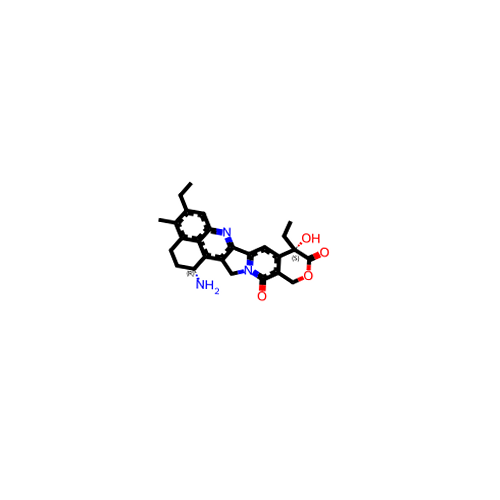 CCc1cc2nc3c(c4c2c(c1C)CC[C@H]4N)Cn1c-3cc2c(c1=O)COC(=O)[C@]2(O)CC